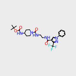 CC(C)(C)OC(=O)NC1CCN(C(=O)NCCNC(=O)c2cn(-c3ccccc3)nc2C(F)(F)F)CC1